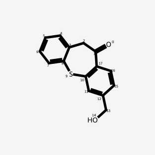 O=C1Cc2ccccc2Sc2cc(CO)ccc21